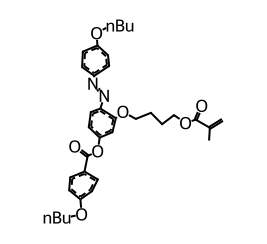 C=C(C)C(=O)OCCCCOc1cc(OC(=O)c2ccc(OCCCC)cc2)ccc1N=Nc1ccc(OCCCC)cc1